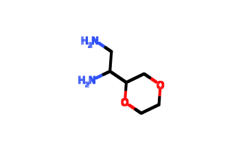 NCC(N)C1COCCO1